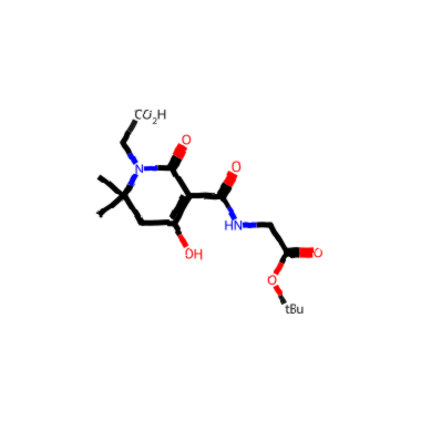 CC(C)(C)OC(=O)CNC(=O)C1=C(O)CC(C)(C)N(CC(=O)O)C1=O